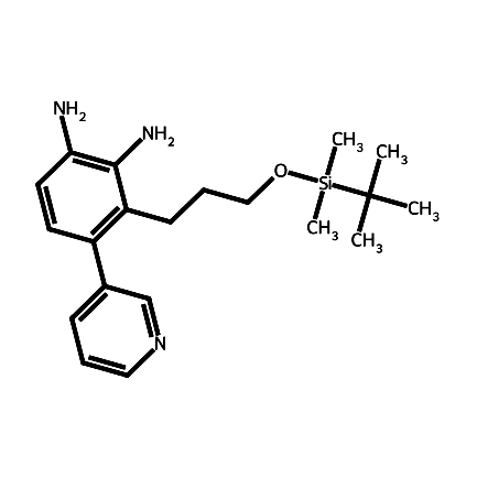 CC(C)(C)[Si](C)(C)OCCCc1c(-c2cccnc2)ccc(N)c1N